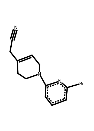 N#CCC1=CCN(c2cccc(Br)n2)CC1